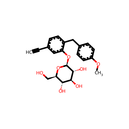 C#Cc1ccc(Cc2ccc(OC)cc2)c(O[C@@H]2O[C@H](CO)[C@@H](O)[C@H](O)[C@H]2O)c1